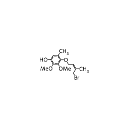 COc1c(O)cc(C)c(OCC=C(C)CBr)c1OC